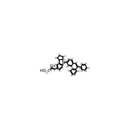 CC(=Cc1ccc2c(c1)C1CCCC1N2c1ccc(C=C(c2ccccc2)c2ccccc2)cc1)C(=O)O